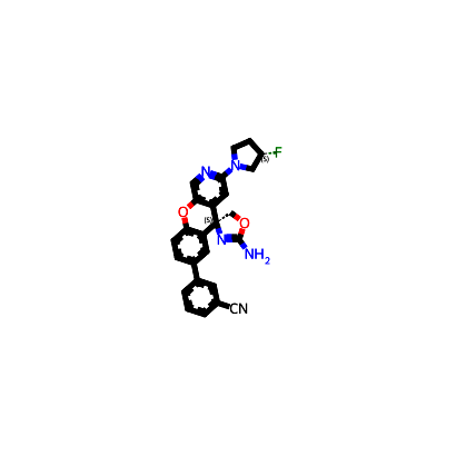 N#Cc1cccc(-c2ccc3c(c2)[C@@]2(COC(N)=N2)c2cc(N4CC[C@H](F)C4)ncc2O3)c1